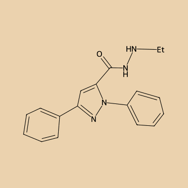 CCNNC(=O)c1cc(-c2ccccc2)nn1-c1ccccc1